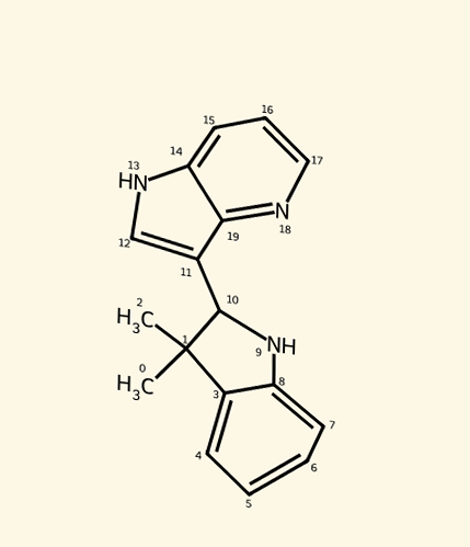 CC1(C)c2ccccc2NC1c1c[nH]c2cccnc12